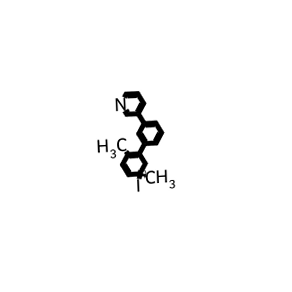 CC1=C(c2cccc(-c3cccnc3)c2)C[C@](C)(I)C=C1